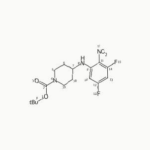 CC(C)(C)OC(=O)N1CCC(Nc2cc(F)cc(F)c2[N+](=O)[O-])CC1